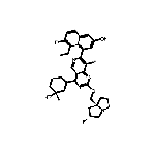 CCc1c(F)ccc2cc(O)cc(-c3ncc4c(C5CCC[C@@](C)(O)C5)nc(OC[C@@]56CCCN5C[C@H](F)C6)nc4c3F)c12